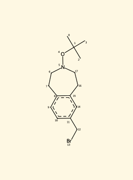 CC(C)(C)ON1CCc2ccc(CBr)cc2CC1